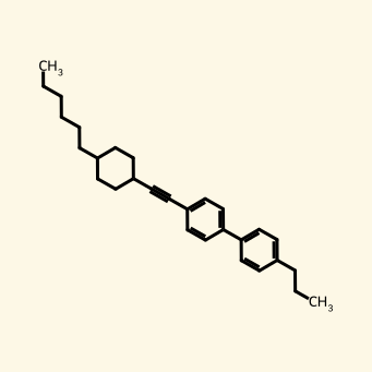 CCCCCCC1CCC(C#Cc2ccc(-c3ccc(CCC)cc3)cc2)CC1